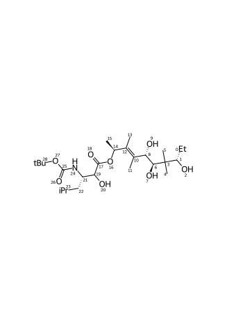 CC[C@H](O)C(C)(C)[C@@H](O)[C@@H](O)/C(C)=C(\C)[C@H](C)OC(=O)C(O)[C@H](CC(C)C)NC(=O)OC(C)(C)C